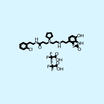 O=C(CCN(CCNCCc1ccc(O)c2[nH]c(=O)sc12)C1CCCC1)NCCc1ccccc1Cl.O=C(O)C(F)(F)F.O=C(O)C(F)(F)F